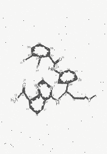 COCCC(Nc1ncnc2c(C(N)=O)cccc12)c1cccc(NC(=O)c2cccc(F)c2F)c1